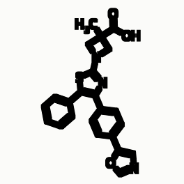 CC1(C(=O)O)CN(c2nc(-c3ccc(-c4cnco4)cc3)c(-c3ccccc3)s2)C1